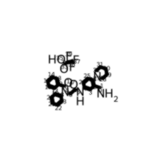 NCc1cc(NC(=O)CN(C(=O)c2ccccc2)c2ccccc2)ccc1N1CCCCC1.O=C(O)C(F)(F)F